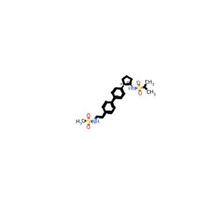 CC(C)S(=O)(=O)N[C@@H]1CCC[C@@H]1c1ccc(-c2ccc(CCNS(C)(=O)=O)cc2)cc1